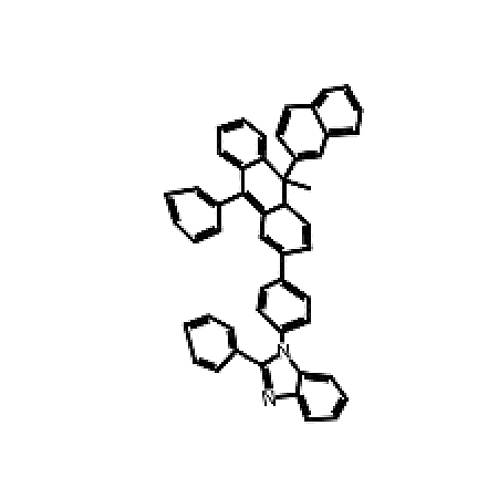 CC1(c2ccc3ccccc3c2)c2ccccc2C(c2ccccc2)=C2C=C(c3ccc(-n4c(-c5ccccc5)nc5ccccc54)cc3)C=CC21